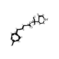 Cc1ccc(CCCC(=O)OC(C)(C)C2CCNCC2)cc1